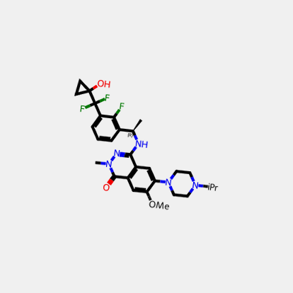 COc1cc2c(=O)n(C)nc(N[C@H](C)c3cccc(C(F)(F)C4(O)CC4)c3F)c2cc1N1CCN(C(C)C)CC1